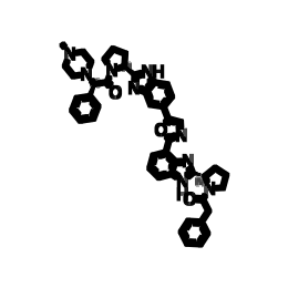 CN1CCN([C@@H](C(=O)N2CCC[C@H]2c2nc3cc(-c4cnc(-c5cccc6[nH]c([C@@H]7CCCN7C(=O)Cc7ccccc7)nc56)o4)ccc3[nH]2)c2ccccc2)CC1